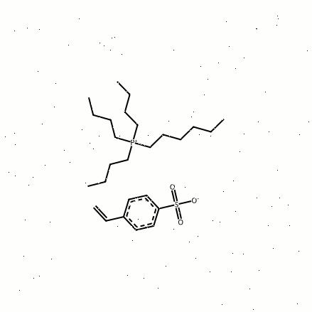 C=Cc1ccc(S(=O)(=O)[O-])cc1.CCCCCC[P+](CCCC)(CCCC)CCCC